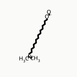 CN(C)CCCCCCCCCCCCCCCCO[C]=O